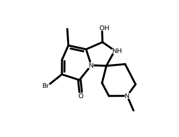 Cc1cc(Br)c(=O)n2c1C(O)NC21CCN(C)CC1